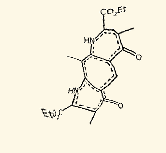 CCOC(=O)c1[nH]c2c(C)c3[nH]c(C(=O)OCC)c(C)c(=O)c3cc2c(=O)c1C